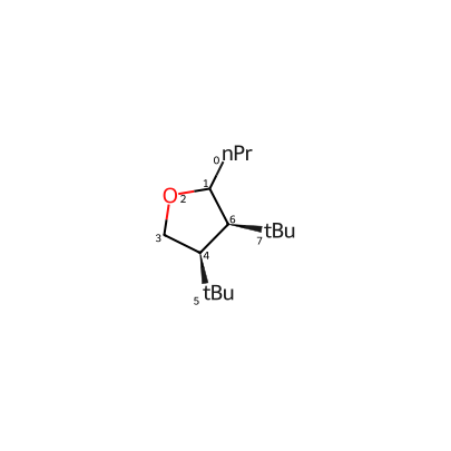 CCCC1OC[C@H](C(C)(C)C)[C@@H]1C(C)(C)C